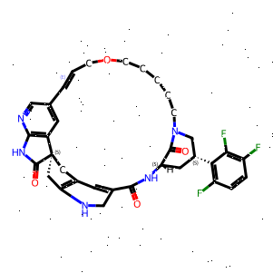 O=C1N[C@H]2C[C@@H](c3c(F)ccc(F)c3F)CN(CCCCCOC/C=C/c3cnc4c(c3)[C@@]3(CC5=C(C3)NCC1=C5)C(=O)N4)C2=O